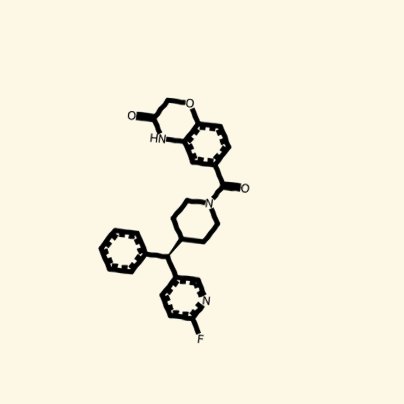 O=C1COc2ccc(C(=O)N3CCC([C@H](c4ccccc4)c4ccc(F)nc4)CC3)cc2N1